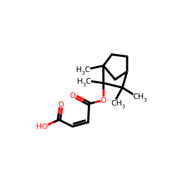 CC12CCC(C1)C(C)(C)C2(C)OC(=O)/C=C\C(=O)O